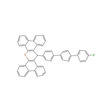 Fc1ccc(-c2ccc(-c3ccc(C4c5c(c6ccccc6c6ccccc56)Sc5c4c4ccccc4c4ccccc54)cc3)cc2)cc1